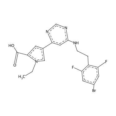 CCn1cc(-c2cc(NCCc3c(F)cc(Br)cc3F)ncn2)cc1C(=O)O